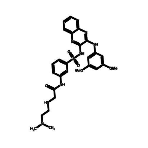 COc1cc(Nc2nc3ccccc3nc2NS(=O)(=O)c2cccc(NC(=O)CNCCN(C)C)c2)cc(OC)c1